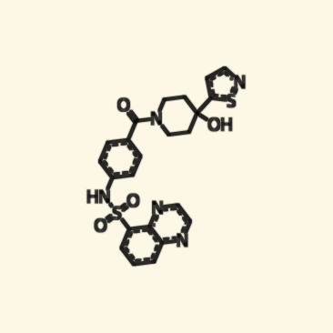 O=C(c1ccc(NS(=O)(=O)c2cccc3nccnc23)cc1)N1CCC(O)(c2ccns2)CC1